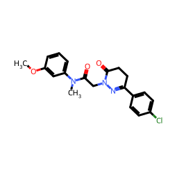 COc1cccc(N(C)C(=O)CN2N=C(c3ccc(Cl)cc3)CCC2=O)c1